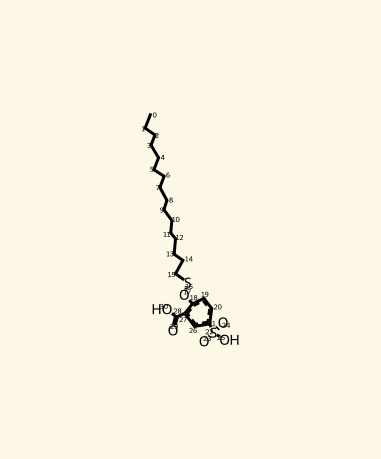 CCCCCCCCCCCCCCCCSOc1ccc(S(=O)(=O)O)cc1C(=O)O